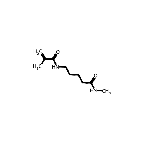 C=C(C)C(=O)NCCCCC(=O)NC